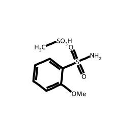 COc1ccccc1S(N)(=O)=O.CS(=O)(=O)O